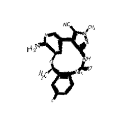 C[C@H]1Oc2cc(cnc2N)-c2c(nn(C)c2C#N)NC(=O)Nc2ccc(F)cc21